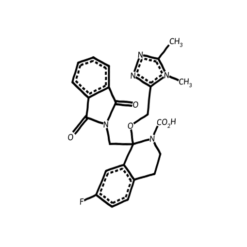 Cc1nnc(COC2(CN3C(=O)c4ccccc4C3=O)c3cc(F)ccc3CCN2C(=O)O)n1C